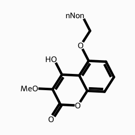 CCCCCCCCCCOc1cccc2oc(=O)c(OC)c(O)c12